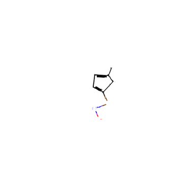 CC1=CC=C(SNO)C1